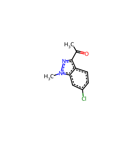 CC(=O)c1nn(C)c2cc(Cl)ccc12